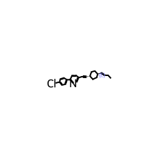 CC/C=C/[C@H]1CC[C@H](C#Cc2ccc(-c3ccc(Cl)cc3)nc2)CC1